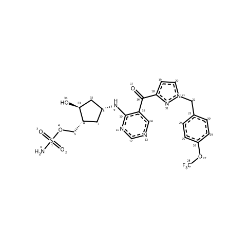 NS(=O)(=O)OC[C@H]1C[C@@H](Nc2ncncc2C(=O)c2ccn(Cc3ccc(OC(F)(F)F)cc3)n2)C[C@@H]1O